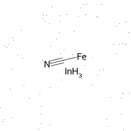 N#[C][Fe].[InH3]